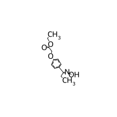 CCOC(=O)COc1ccc(C(CC)=NO)cc1